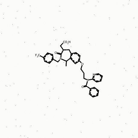 CC1c2cc(OCCCN(C(=O)c3ccccc3)c3ccccn3)ccc2CC(CC(=O)O)C(=O)N1Cc1ccc(C(F)(F)F)cc1